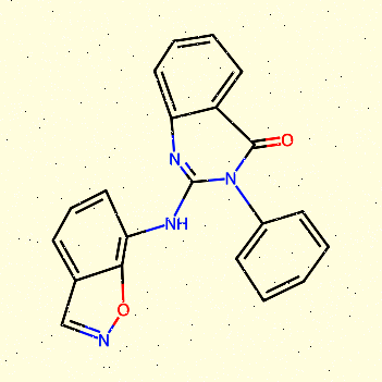 O=c1c2ccccc2nc(Nc2cccc3cnoc23)n1-c1ccccc1